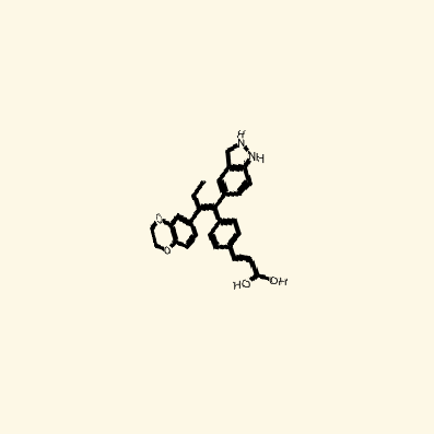 CC/C(=C(/c1ccc(/C=C/C(O)O)cc1)c1ccc2c(c1)CNN2)c1ccc2c(c1)OCCO2